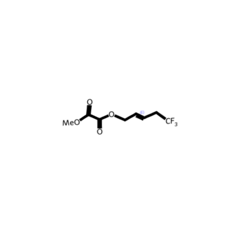 COC(=O)C(=O)OC/C=C/CC(F)(F)F